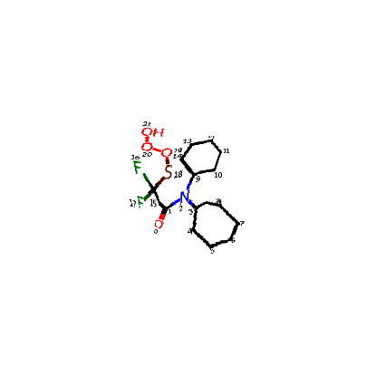 O=C(N(C1CCCCC1)C1CCCCC1)C(F)(F)SOOO